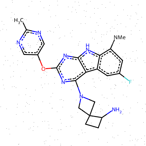 CNc1cc(F)cc2c1[nH]c1nc(Oc3cnc(C)nc3)nc(N3CC4(CCC4N)C3)c12